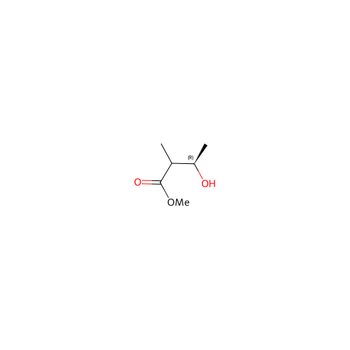 COC(=O)C(C)[C@@H](C)O